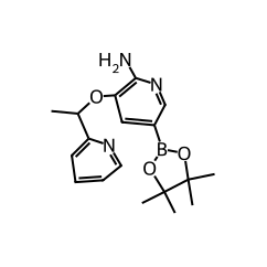 CC(Oc1cc(B2OC(C)(C)C(C)(C)O2)cnc1N)c1ccccn1